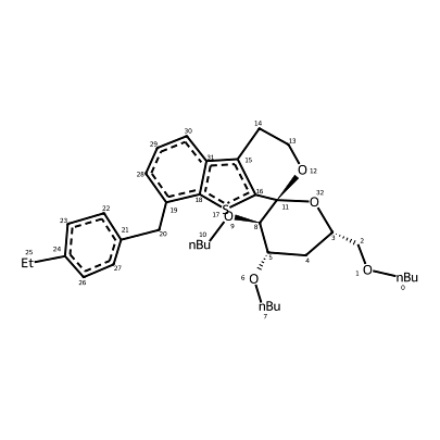 CCCCOC[C@@H]1C[C@H](OCCCC)[C@@H](OCCCC)[C@@]2(OCCc3c2sc2c(Cc4ccc(CC)cc4)cccc32)O1